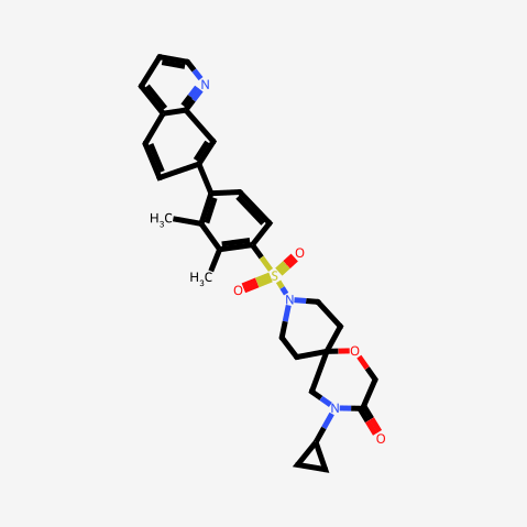 Cc1c(-c2ccc3cccnc3c2)ccc(S(=O)(=O)N2CCC3(CC2)CN(C2CC2)C(=O)CO3)c1C